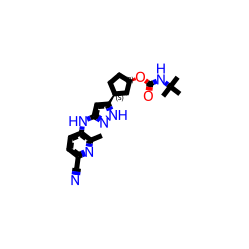 Cc1nc(C#N)ccc1Nc1cc([C@H]2CC[C@@H](OC(=O)NC(C)(C)C)C2)[nH]n1